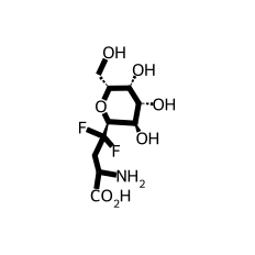 NC(CC(F)(F)[C@H]1O[C@H](CO)[C@H](O)[C@H](O)[C@H]1O)C(=O)O